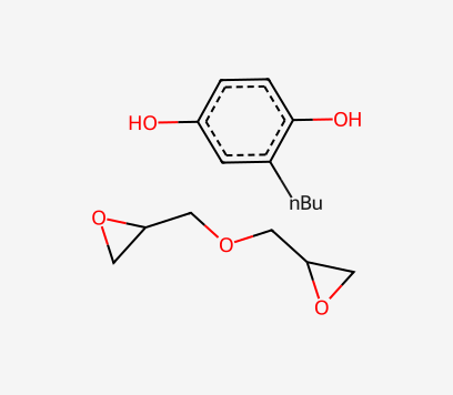 C(OCC1CO1)C1CO1.CCCCc1cc(O)ccc1O